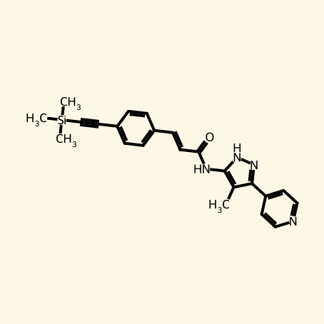 Cc1c(-c2ccncc2)n[nH]c1NC(=O)C=Cc1ccc(C#C[Si](C)(C)C)cc1